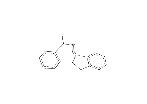 CC(/N=C1\CCc2ccccc21)c1ccccc1